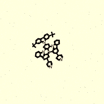 CC(C)(C)c1ccc2c3ccc(C(C)(C)C)cc3n(-c3cc4c5c(c3)-n3c6ccccc6c6cc(-c7ccncc7)cc(c63)B5c3cc(-c5ccncc5)cc5c6ccccc6n-4c35)c2c1